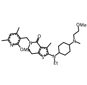 CCN(c1sc2c(c1C)C(=O)N(Cc1c(C)cc(C)nc1OC)CC2)C1CCC(N(C)CCOC)CC1